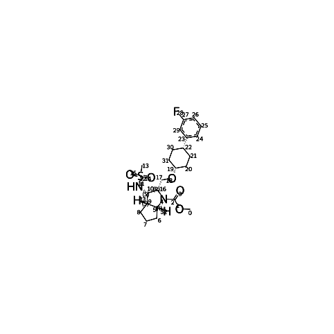 COC(=O)N1[C@@H]2CCC[C@@H]2[C@H](NS(C)(=O)=O)[C@@H]1CO[C@H]1CC[C@@H](c2cccc(F)c2)CC1